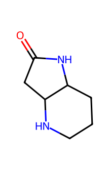 O=C1CC2NCCCC2N1